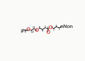 CCCCCCCCCCCCOC(=O)CCCOCCOC(C)C